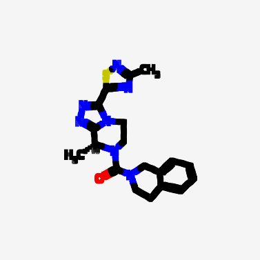 Cc1nsc(-c2nnc3n2CCN(C(=O)N2CCc4ccccc4C2)[C@@H]3C)n1